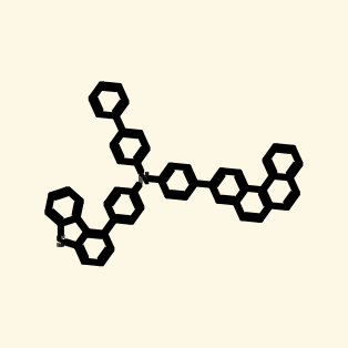 c1ccc(-c2ccc(N(c3ccc(-c4ccc5c(ccc6ccc7ccccc7c65)c4)cc3)c3ccc(-c4cccc5sc6ccccc6c45)cc3)cc2)cc1